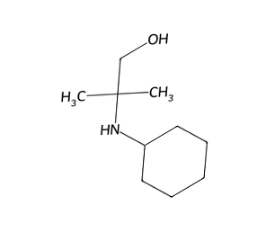 CC(C)(CO)NC1CCCCC1